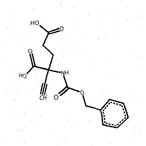 C#CC(CCC(=O)O)(NC(=O)OCc1ccccc1)C(=O)O